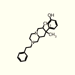 CC1CN2CCN(CCc3ccccc3)CC2CC1(C)c1cccc(O)c1